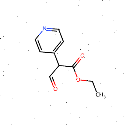 CCOC(=O)C(C=O)c1ccncc1